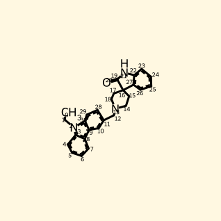 CCn1c2ccccc2c2cc(CN3CCC4(CC3)C(=O)Nc3ccccc34)ccc21